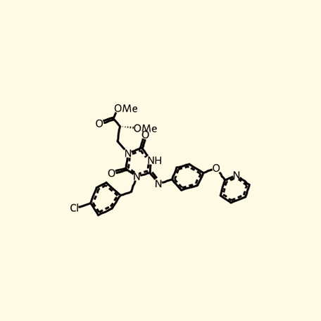 COC(=O)[C@@H](Cn1c(=O)[nH]/c(=N\c2ccc(Oc3ccccn3)cc2)n(Cc2ccc(Cl)cc2)c1=O)OC